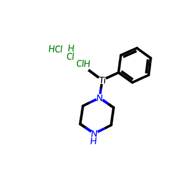 Cl.Cl.Cl.[CH3][Ti]([c]1ccccc1)[N]1CCNCC1